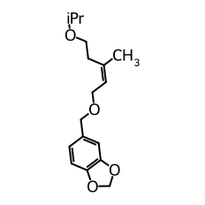 CC(=CCOCc1ccc2c(c1)OCO2)CCOC(C)C